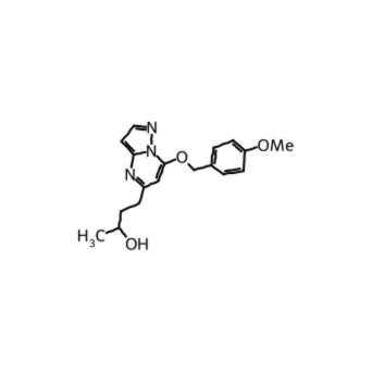 COc1ccc(COc2cc(CCC(C)O)nc3ccnn23)cc1